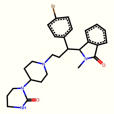 CN1C(=O)c2ccccc2C1C(CCN1CCC(N2CCCNC2=O)CC1)c1ccc(Br)cc1